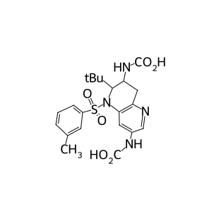 Cc1cccc(S(=O)(=O)N2c3cc(NC(=O)O)cnc3CC(NC(=O)O)C2C(C)(C)C)c1